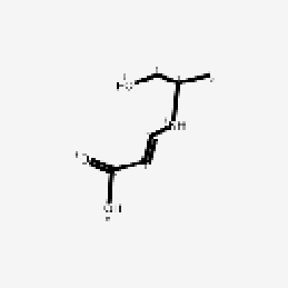 CC(CO)NC=CC(=O)O